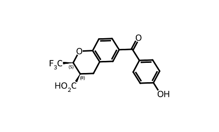 O=C(c1ccc(O)cc1)c1ccc2c(c1)C[C@@H](C(=O)O)[C@@H](C(F)(F)F)O2